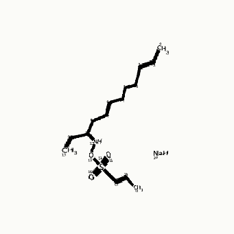 CCCCCCCCCC(CC)NOS(=O)(=O)CCC.[NaH]